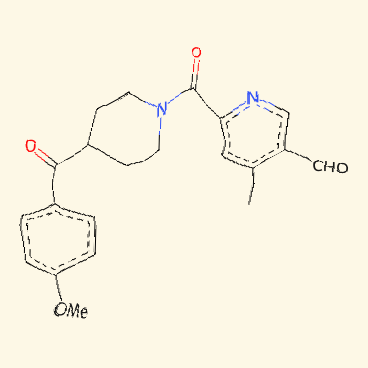 COc1ccc(C(=O)C2CCN(C(=O)c3cc(C)c(C=O)cn3)CC2)cc1